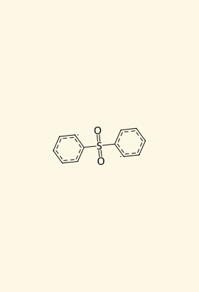 O=S(=O)(c1[c]cccc1)c1[c]cccc1